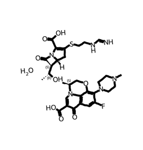 C[C@@H](O)[C@H]1C(=O)N2C(C(=O)O)=C(SCCNC=N)C[C@H]12.C[C@H]1COc2c(N3CCN(C)CC3)c(F)cc3c(=O)c(C(=O)O)cn1c23.O